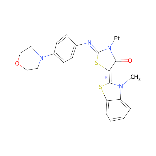 CCN1C(=O)/C(=C2/Sc3ccccc3N2C)SC1=Nc1ccc(N2CCOCC2)cc1